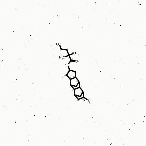 CCCC(C)(C)C(=O)SC1CC2C(C1)C1CC2C2C3CC(S)C(C3)C12